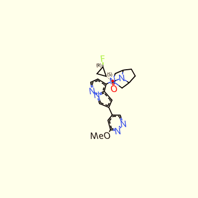 COc1cc(-c2cc3c(N4CC5CCC(C4)N5C(=O)[C@@H]4C[C@H]4F)ccnn3c2)cnn1